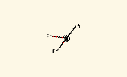 CC(C)CCCCCCCCCCCCCCC(=O)N(C(=O)CCCCCCCCCCCCCCC(C)C)C(=O)CCCCCCCCCCCCCCC(C)C